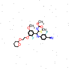 COC(=O)N=C(SC)C(=Nc1ccc(C#N)c(F)c1)c1cc(OC)cc(OCCOC2CCCCO2)c1F